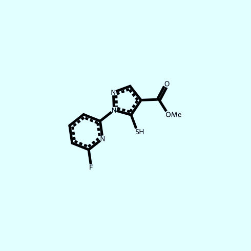 COC(=O)c1cnn(-c2cccc(F)n2)c1S